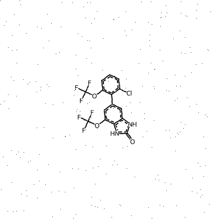 O=c1[nH]c2cc(-c3c(Cl)cccc3OC(F)(F)F)cc(OC(F)(F)F)c2[nH]1